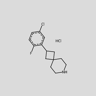 Cl.Fc1ccc(Cl)cc1C1CC2(CCNCC2)C1